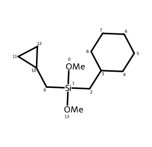 CO[Si](CC1CCCCC1)(CC1CC1)OC